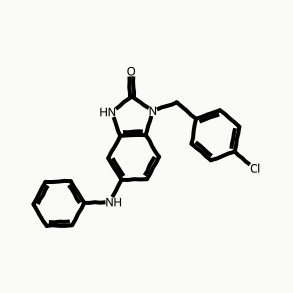 O=c1[nH]c2cc(Nc3ccccc3)ccc2n1Cc1ccc(Cl)cc1